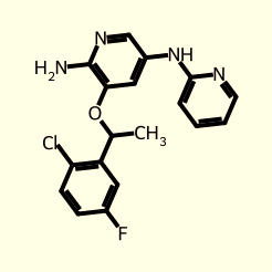 CC(Oc1cc(Nc2ccccn2)cnc1N)c1cc(F)ccc1Cl